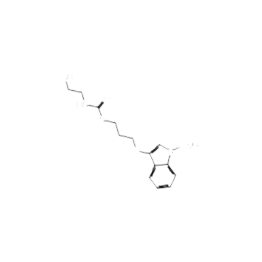 COn1cc(OCCCNC(=O)NCCS)c2ccccc21